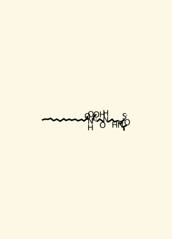 CCCCCCCCCCCCCCCC(=O)N[C@@H](CCC(=O)NCCCC[C@H](NC(C)C)C(=O)SC)C(=O)O